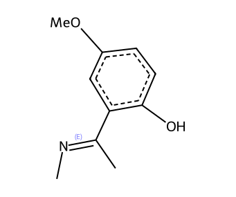 C/N=C(\C)c1cc(OC)ccc1O